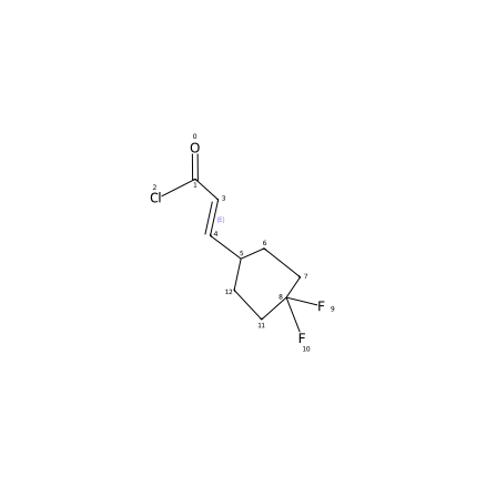 O=C(Cl)/C=C/C1CCC(F)(F)CC1